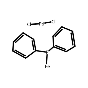 [Cl][Pd][Cl].[Fe][P](c1ccccc1)c1ccccc1